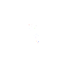 CN(Cc1cnc(N2CCC(c3nc4c(c(C5CCC(F)(F)CC5)c3[C@@H](F)c3ccc(C(F)(F)F)cc3)[C@@H](O)CC(C)(C)C4)CC2)nc1)S(C)(=O)=O